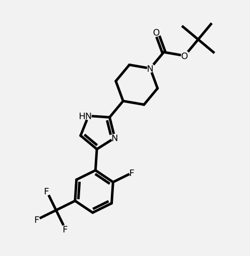 CC(C)(C)OC(=O)N1CCC(c2nc(-c3cc(C(F)(F)F)ccc3F)c[nH]2)CC1